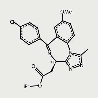 COc1ccc2c(c1)C(c1ccc(Cl)cc1)=N[C@H](CC(=O)OC(C)C)c1nnc(C)n1-2